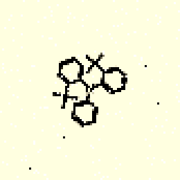 CC(C)(C)c1ccccc1N(c1ccccc1)c1ccccc1C(C)(C)C